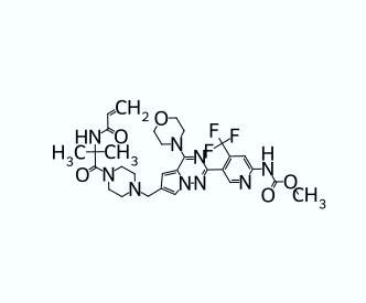 C=CC(=O)NC(C)(C)C(=O)N1CCN(Cc2cc3c(N4CCOCC4)nc(-c4cnc(NC(=O)OC)cc4C(F)(F)F)nn3c2)CC1